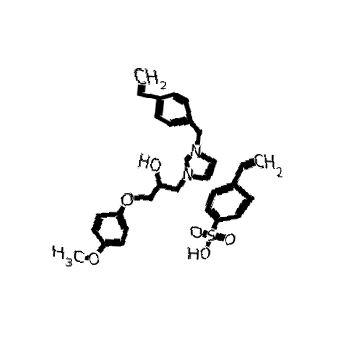 C=Cc1ccc(CN2C=CN(CC(O)COc3ccc(OC)cc3)C2)cc1.C=Cc1ccc(S(=O)(=O)O)cc1